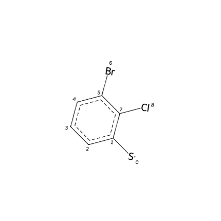 [S]c1cccc(Br)c1Cl